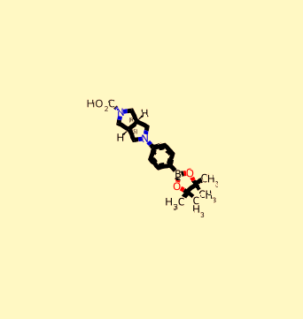 CC1(C)OB(c2ccc(N3C[C@H]4CN(C(=O)O)C[C@H]4C3)cc2)OC1(C)C